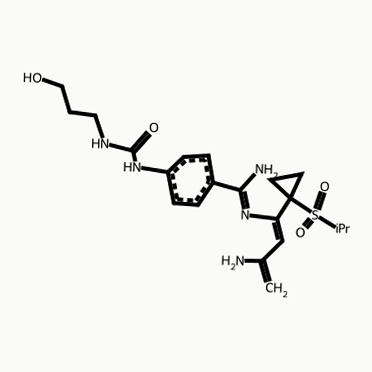 C=C(N)/C=C(\N=C(/N)c1ccc(NC(=O)NCCCO)cc1)C1(S(=O)(=O)C(C)C)CC1